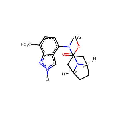 CCn1cc2c(N(C)C3C[C@H]4CC[C@@H](C3)N4C(=O)OC(C)(C)C)ccc(C(=O)O)c2n1